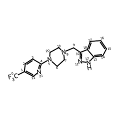 FC(F)(F)c1ccc(N2CCN(Cc3n[nH]c4ccccc34)CC2)nc1